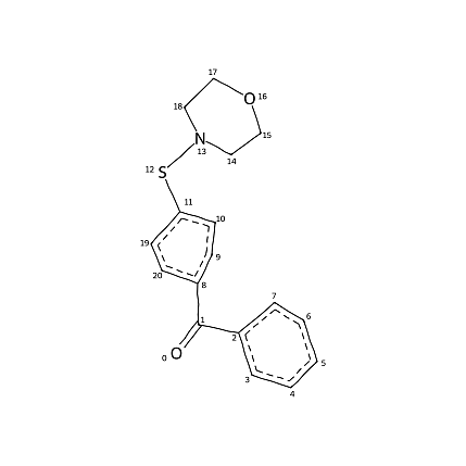 O=C(c1ccccc1)c1ccc(SN2CCOCC2)cc1